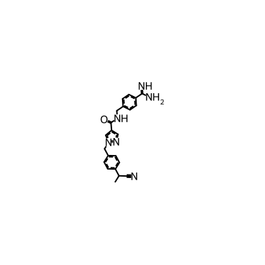 CC(C#N)c1ccc(Cn2cc(C(=O)NCc3ccc(C(=N)N)cc3)cn2)cc1